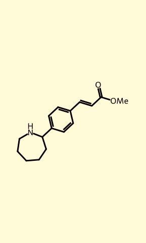 COC(=O)/C=C/c1ccc(C2CCCCCN2)cc1